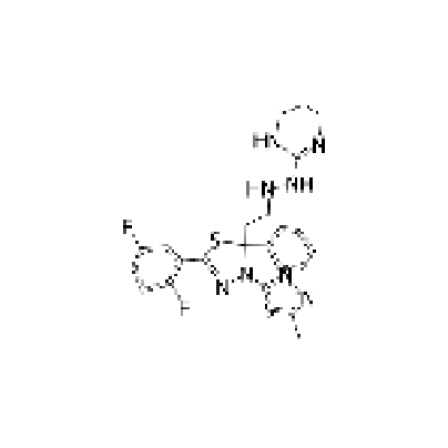 Cc1nnc(N2N=C(c3cc(F)ccc3F)SC2(CCNNC2=NCCCN2)c2ccccc2)s1